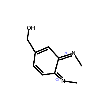 C/N=C1/C=CC(CO)=C/C1=N/C